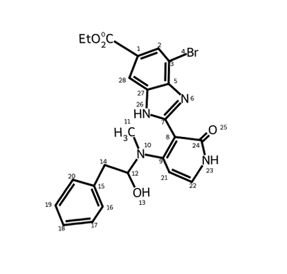 CCOC(=O)c1cc(Br)c2nc(-c3c(N(C)C(O)Cc4ccccc4)cc[nH]c3=O)[nH]c2c1